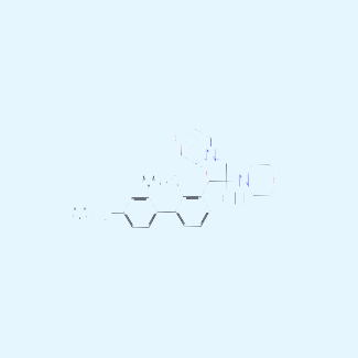 CSc1ccc(-c2cccc(C(=O)C(C)(CN3CCOCC3)N3CCOCC3)c2SC)cc1